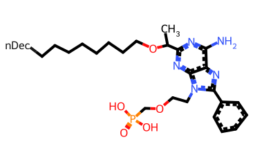 CCCCCCCCCCCCCCCCCCOC(C)c1nc(N)c2nc(-c3ccccc3)n(CCOCP(=O)(O)O)c2n1